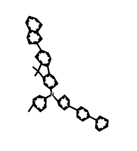 Cc1ccc(N(c2ccc(-c3ccc(-c4ccccc4)cc3)cc2)c2ccc3c(c2)C(C)(C)c2cc(-c4ccc5ccccc5c4)ccc2-3)cc1